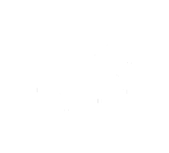 CC1=C(C(=O)O)C=CC(=S)C1C(=O)O